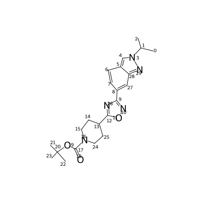 CC(C)n1cc2ccc(-c3noc(C4CCN(C(=O)OC(C)(C)C)CC4)n3)cc2n1